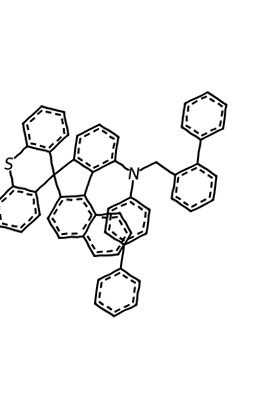 c1ccc(-c2ccc(N(Cc3ccccc3-c3ccccc3)c3cccc4c3-c3c(ccc5ccccc35)C43c4ccccc4Sc4ccccc43)cc2)cc1